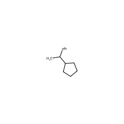 CCCC(C)[C]1CCCC1